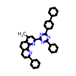 Cc1cc(-c2nc(-c3ccccc3)nc(-c3ccc(-c4ccccc4)cc3)n2)nc2c1ccc1ccc(-c3ccccc3)nc12